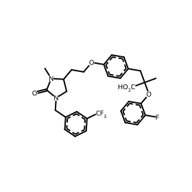 CN1C(=O)N(Cc2cccc(C(F)(F)F)c2)CC1CCOc1ccc(CC(C)(Oc2ccccc2F)C(=O)O)cc1